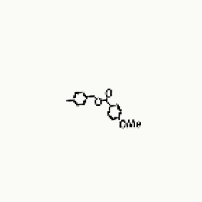 COc1ccc(C(=O)OCc2ccc(C)cc2)cc1